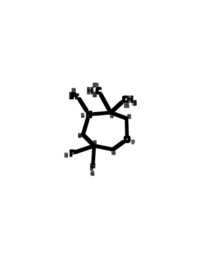 CC(C)N1CC(F)(F)COCC1(C)C